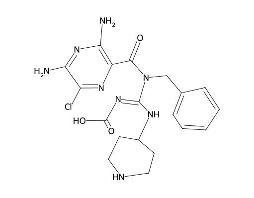 Nc1nc(N)c(C(=O)N(Cc2ccccc2)C(=NC(=O)O)NC2CCNCC2)nc1Cl